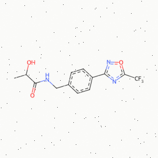 CC(O)C(=O)NCc1ccc(-c2noc(C(F)(F)F)n2)cc1